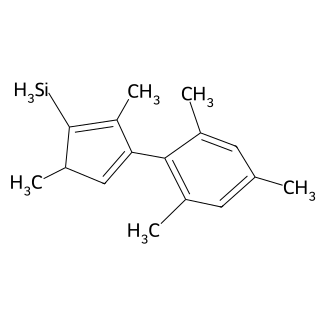 CC1=C([SiH3])C(C)C=C1c1c(C)cc(C)cc1C